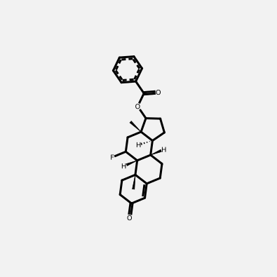 C[C@]12CCC(=O)C=C1CC[C@@H]1[C@H]2C(F)C[C@]2(C)C(OC(=O)c3ccccc3)CC[C@@H]12